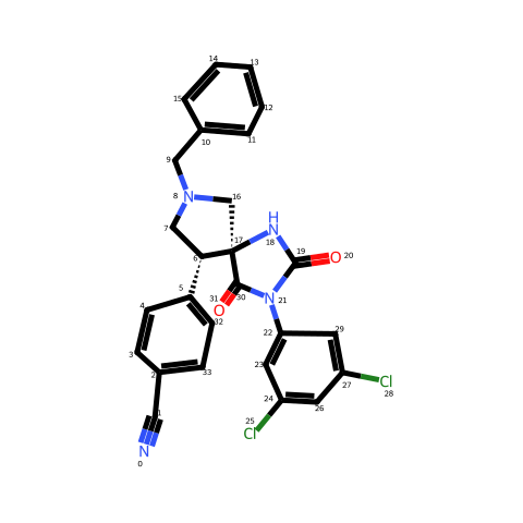 N#Cc1ccc([C@@H]2CN(Cc3ccccc3)C[C@@]23NC(=O)N(c2cc(Cl)cc(Cl)c2)C3=O)cc1